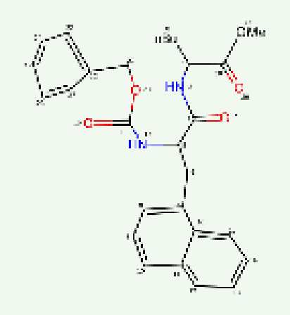 CCCCC(NC(=O)C(Cc1cccc2ccccc12)NC(=O)OCc1ccccc1)C(=O)OC